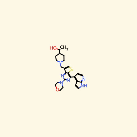 CC(O)C1CCN(Cc2csc3c(-c4ccnc5[nH]ccc45)nc(N4CCOCC4)nc23)CC1